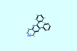 c1ccc(-c2cc3c(nc2-c2ccccc2)CCNC3)cc1